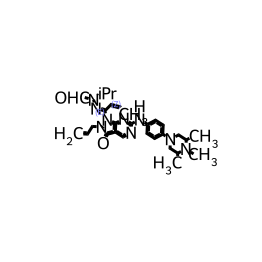 C=CCn1c(=O)c2cnc(Nc3ccc(N4CC(C)N(C)C(C)C4)cc3)nc2n1C(/C=C\C)=N/N(C=O)C(C)C